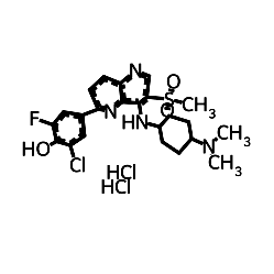 CN(C)C1CCC(Nc2c(S(C)(=O)=O)cnc3ccc(-c4cc(F)c(O)c(Cl)c4)nc23)CC1.Cl.Cl